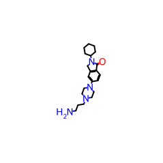 NCCCN1CCN(c2ccc3c(c2)CN(C2CCCCC2)C3=O)CC1